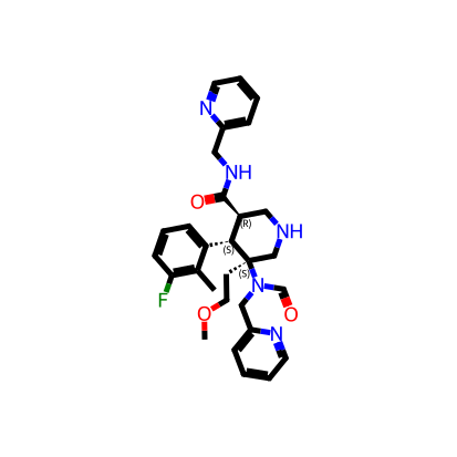 COCC[C@@]1(N(C=O)Cc2ccccn2)CNC[C@H](C(=O)NCc2ccccn2)[C@H]1c1cccc(F)c1C